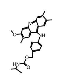 COc1cc2nc3cc(C)c(C)cc3c(Nc3ccc(COC(=O)NC(C)C)cc3)c2cc1C